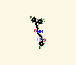 O=C(CCCCC(c1ccc(F)cc1)c1ccc(F)cc1)NCC#CCNC(=O)c1ccc(Cl)cc1